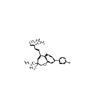 CC(/C=C/C1=CC(C)(C)COc2cc(-c3ccc(F)cc3)ccc21)=C\C(=O)O